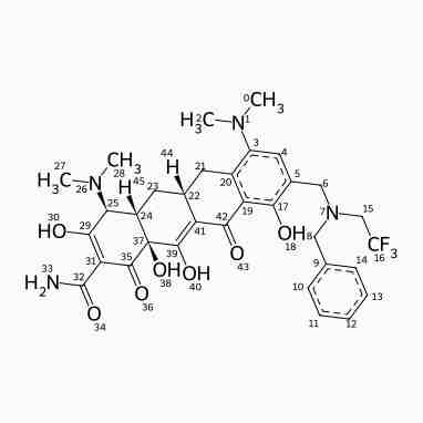 CN(C)c1cc(CN(Cc2ccccc2)CC(F)(F)F)c(O)c2c1C[C@H]1C[C@H]3[C@H](N(C)C)C(O)=C(C(N)=O)C(=O)[C@@]3(O)C(O)=C1C2=O